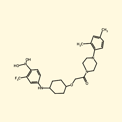 Cc1ccc(N2CCN(C(=O)COC3CCC(Nc4ccc(N(O)O)c(C(F)(F)F)c4)CC3)CC2)c(C)c1